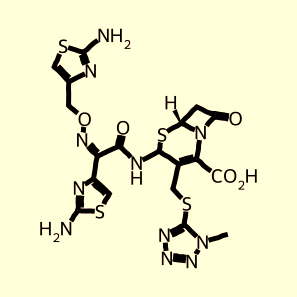 Cn1nnnc1SCC1=C(C(=O)O)N2C(=O)C[C@H]2SC1NC(=O)/C(=N\OCc1csc(N)n1)c1csc(N)n1